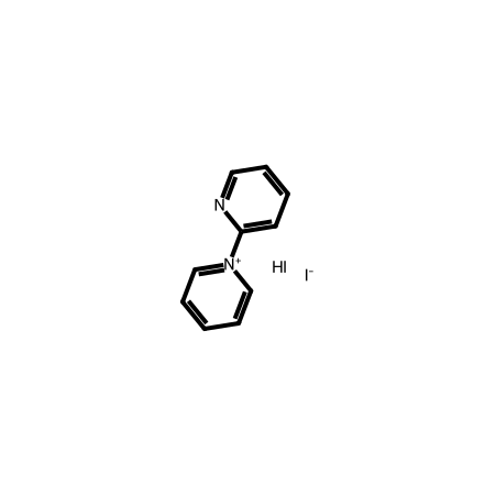 I.[I-].c1cc[n+](-c2ccccn2)cc1